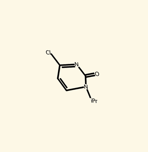 CC(C)n1ccc(Cl)nc1=O